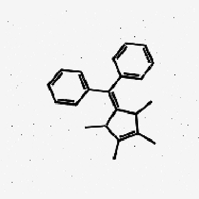 C[C]1C(C)=C(C)C(C)C1=C(c1ccccc1)c1ccccc1